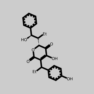 CCC(C1=C(O)C(=O)[C@@H](C(CC)[C@@H](O)c2ccccc2)OC1=O)c1ccc(O)cc1